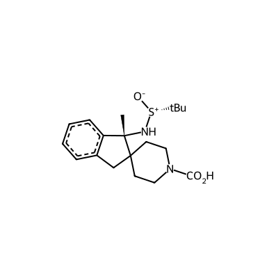 CC(C)(C)[S@@+]([O-])N[C@@]1(C)c2ccccc2CC12CCN(C(=O)O)CC2